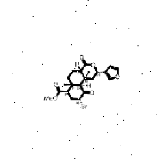 COC(=O)[C@@H]1C[C@@H](Br)C(=O)[C@@H]2[C@@]3(C)C[C@@H](c4ccoc4)OC(=O)[C@H]3CC[C@]21C